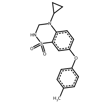 Cc1ccc(Oc2ccc3c(c2)S(=O)(=O)NCN3C2CC2)cc1